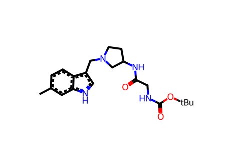 Cc1ccc2c(CN3CCC(NC(=O)CNC(=O)OC(C)(C)C)C3)c[nH]c2c1